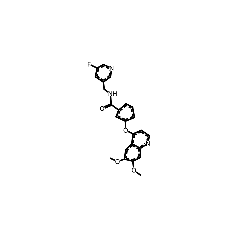 COc1cc2nccc(Oc3cccc(C(=O)NCc4cncc(F)c4)c3)c2cc1OC